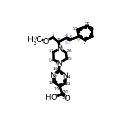 COCC(/C=C/c1ccccc1)N1CCN(c2ncc(C(=O)O)cn2)CC1